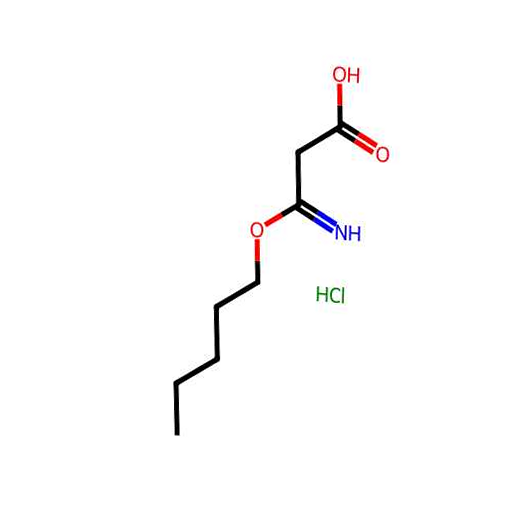 CCCCCOC(=N)CC(=O)O.Cl